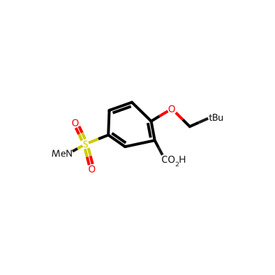 CNS(=O)(=O)c1ccc(OCC(C)(C)C)c(C(=O)O)c1